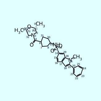 C[C@@H]1CN(C(=O)C2CCC(NS(=O)(=O)c3ccc4cc(-c5ccccc5)n(C)c4c3)CC2)C[C@H](C)O1